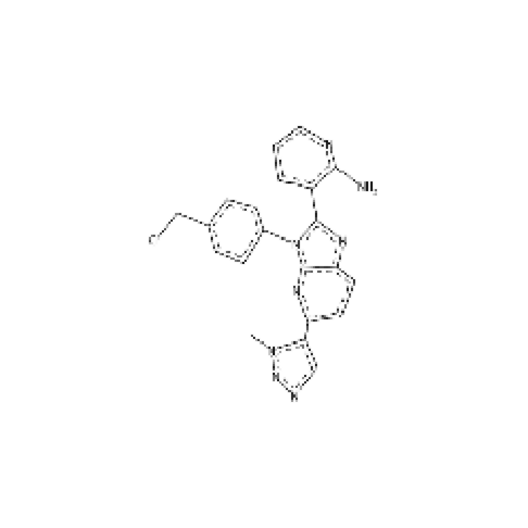 Cn1nncc1-c1ccc2nc(-c3cccnc3N)n(-c3ccc(CCl)cc3)c2n1